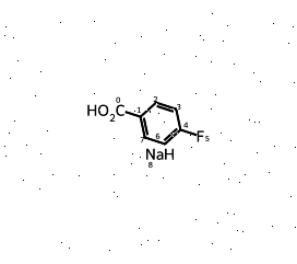 O=C(O)c1ccc(F)cc1.[NaH]